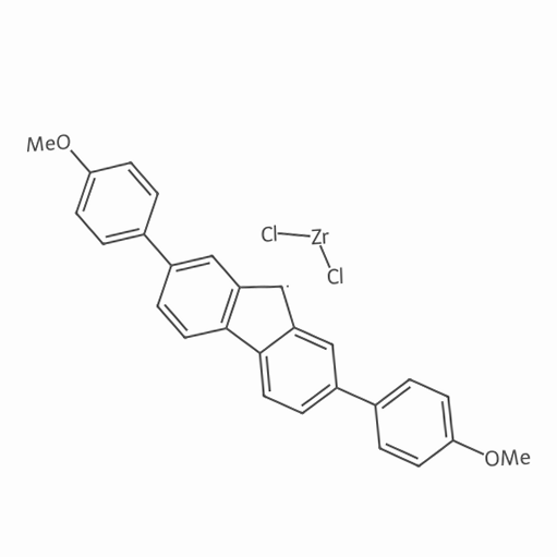 COc1ccc(-c2ccc3c(c2)[CH]c2cc(-c4ccc(OC)cc4)ccc2-3)cc1.[Cl][Zr][Cl]